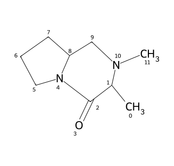 CC1C(=O)N2CCCC2CN1C